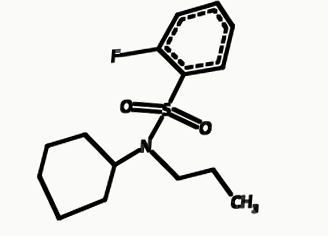 CCCN(C1CCCCC1)S(=O)(=O)c1ccccc1F